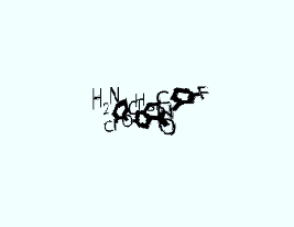 Cc1ccc(F)cc1CN1CCc2cc(Oc3c(Cl)cc(N)cc3Cl)ccc2C1=O